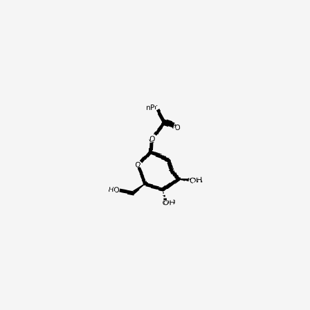 CCCC(=O)OC1C[C@@H](O)[C@H](O)[C@@H](CO)O1